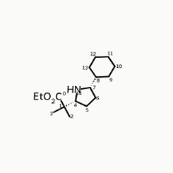 CCOC(=O)C(C)(C)[C@H]1CC[C@@H](C2CCCCC2)N1